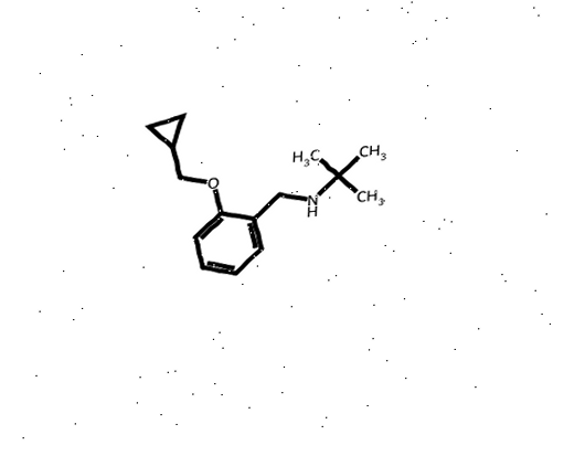 CC(C)(C)NCc1ccccc1OCC1CC1